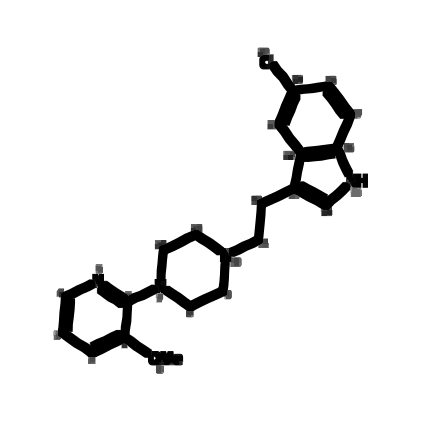 COc1cccnc1N1CCN(CCc2c[nH]c3ccc(Cl)cc23)CC1